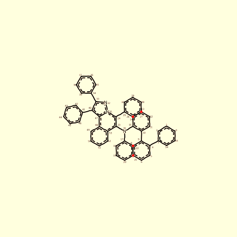 c1ccc(-c2ccccc2-c2ccccc2N(c2ccccc2)c2c(-c3ccccc3)n3nc(-c4ccccc4)c(-c4ccccc4)c3c3ccccc23)cc1